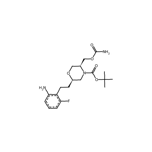 CC(C)(C)OC(=O)N1C[C@@H](CCc2c(N)cccc2F)OC[C@H]1COC(N)=O